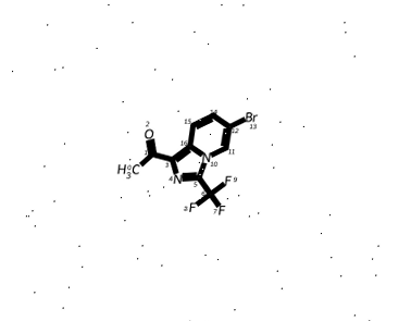 CC(=O)c1nc(C(F)(F)F)n2cc(Br)ccc12